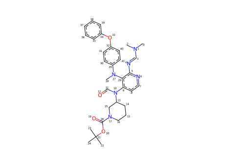 CN(C)/C=N/c1nccc(N(C=O)C2CCCN(C(=O)OC(C)(C)C)C2)c1N(C)c1ccc(Oc2ccccc2)cc1